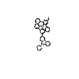 Ic1cc(-c2ccccc2)c(-n2c3ccccc3c3cc(-c4ccc5c(c4)c4ccccc4n5-c4ccccc4)ccc32)c(-c2ccccc2)c1